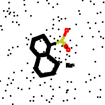 O=S([O-])c1cccc2ccccc12.[Na+]